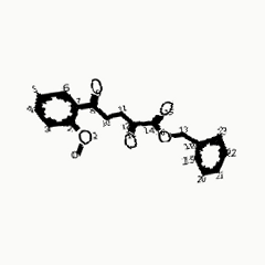 COc1ccccc1C(=O)CCC(=O)C(=O)OCc1ccccc1